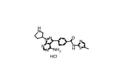 Cc1cnc(NC(=O)c2ccc(-c3nn(C4CCNC4)c4ncnc(N)c34)cc2)s1.Cl